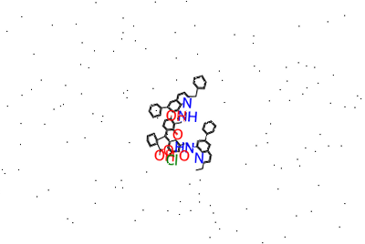 CCc1ccc2cc(-c3ccccc3)cc(NCc3c4oc5c(CNc6cc(-c7ccccc7)cc7ccc(Cc8ccccc8)nc67)c(O)ccc5c(-c5ccccc5C(=O)O)c-4cc(Cl)c3=O)c2n1